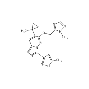 Cc1cc(-c2nnc3cc(C4(C)CC4)c(OCc4ncnn4C)nn23)no1